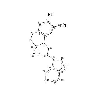 CCCc1cc2c(cc1CC)CCN(C)C2CCc1c[nH]c2ccccc12